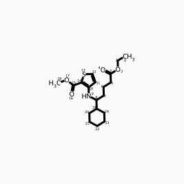 CCOC(=O)CCCC(Nc1ccsc1C(=O)OC)C1CCCCC1